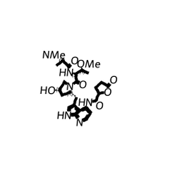 CN[C@@H](C)C(=O)N[C@H](C(=O)N1C[C@@H](O)C[C@H]1Cc1c[nH]c2nccc(NC(=O)C3CCC(=O)O3)c12)[C@@H](C)OC